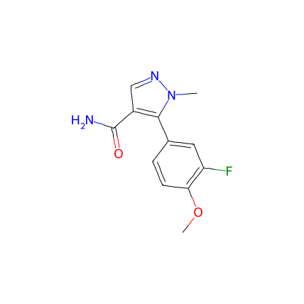 COc1ccc(-c2c(C(N)=O)cnn2C)cc1F